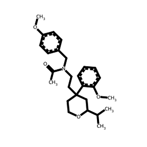 COc1ccc(CN(CCC2(c3ccccc3OC)CCOC(C(C)C)C2)C(C)=O)cc1